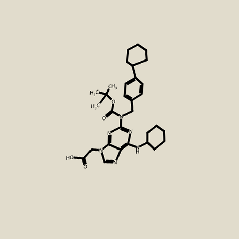 CC(C)(C)OC(=O)N(Cc1ccc(C2CCCCC2)cc1)c1nc(NC2CCCCC2)c2ncn(CC(=O)O)c2n1